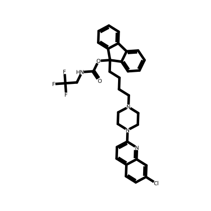 O=C(NCC(F)(F)F)OC1(CCCCN2CCN(c3ccc4ccc(Cl)cc4n3)CC2)c2ccccc2-c2ccccc21